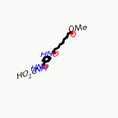 COC(=O)CCCCCCCC(=O)Nc1ccc(C(=O)NNC(=O)O)cc1